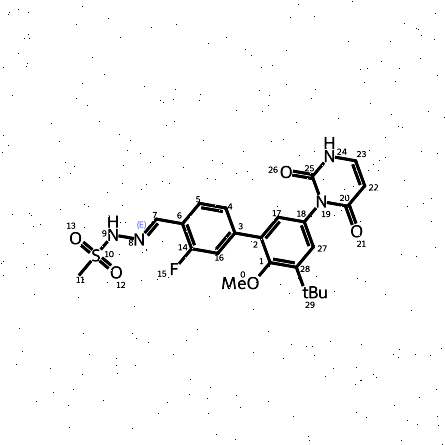 COc1c(-c2ccc(/C=N/NS(C)(=O)=O)c(F)c2)cc(-n2c(=O)cc[nH]c2=O)cc1C(C)(C)C